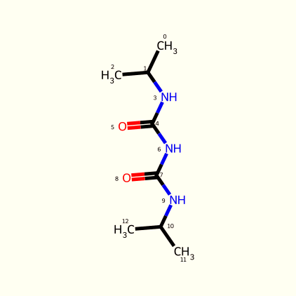 CC(C)NC(=O)NC(=O)NC(C)C